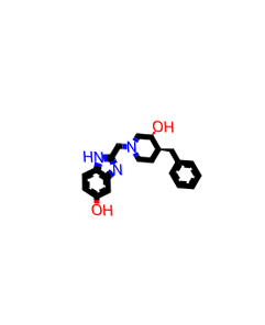 Oc1ccc2[nH]c(CN3CC[C@H](Cc4ccccc4)[C@@H](O)C3)nc2c1